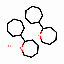 C1CCCC(C2CCCCCO2)CC1.C1CCCC(C2CCCCCO2)CC1.O